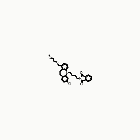 COCCOCc1cccc2c1CCc1ccc(Cl)cc1N2CCCCN1C(=O)c2ccccc2C1=O